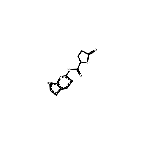 O=C1CCC(C(=O)Nc2ccc3cc[nH]c3n2)N1